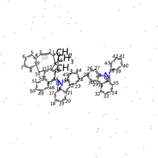 C=C1/C=C\c2ccccc2Cc2c(cc(-n3c4ccccc4c4cc(-c5ccc6c(c5)c5ccccc5n6-c5ccccc5)ccc43)c3ccccc23)C1(C)C